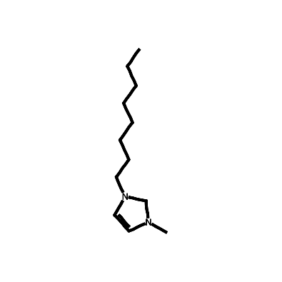 CCCCCCCCN1C=CN(C)C1